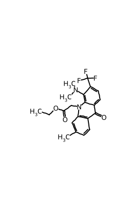 CCOC(=O)Cn1c2cc(C)ccc2c(=O)c2ccc(C(F)(F)F)c(N(C)C)c21